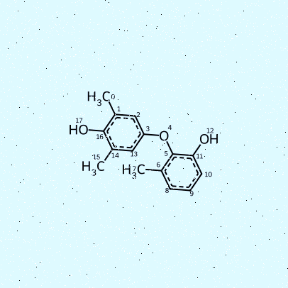 Cc1cc(Oc2c(C)cccc2O)cc(C)c1O